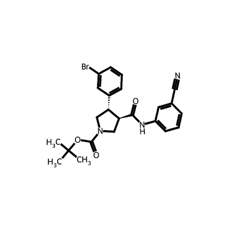 CC(C)(C)OC(=O)N1C[C@H](C(=O)Nc2cccc(C#N)c2)[C@@H](c2cccc(Br)c2)C1